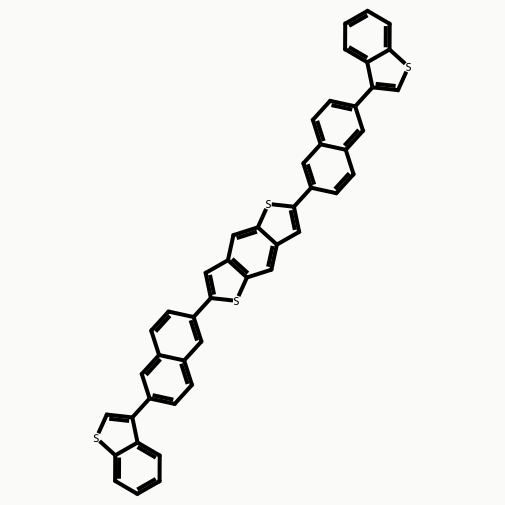 c1ccc2c(-c3ccc4cc(-c5cc6cc7sc(-c8ccc9cc(-c%10csc%11ccccc%10%11)ccc9c8)cc7cc6s5)ccc4c3)csc2c1